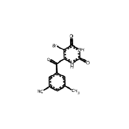 Cc1cc(C#N)cc(C(=O)c2[nH]c(=O)[nH]c(=O)c2Br)c1